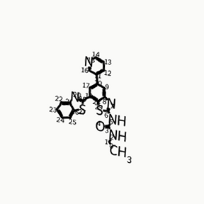 CCNC(=O)Nc1nc2cc(-c3cccnc3)cc(-c3nc4ccccc4s3)c2s1